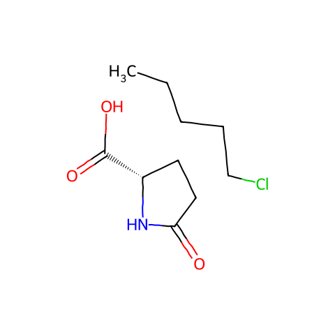 CCCCCCl.O=C1CC[C@@H](C(=O)O)N1